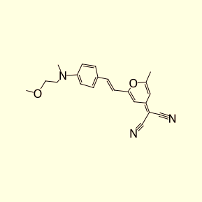 COCCN(C)c1ccc(/C=C/C2=CC(=C(C#N)C#N)C=C(C)O2)cc1